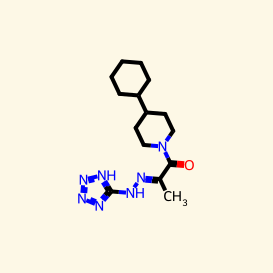 CC(=NNc1nnn[nH]1)C(=O)N1CCC(C2CCCCC2)CC1